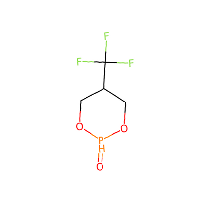 O=[PH]1OCC(C(F)(F)F)CO1